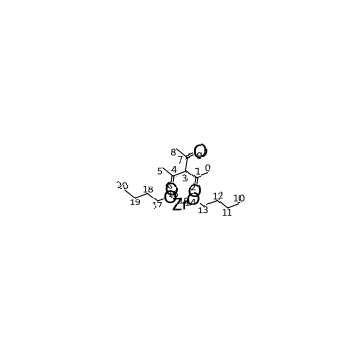 CC(=O)C(C(C)=O)C(C)=O.CCCC[O][Zr][O]CCCC